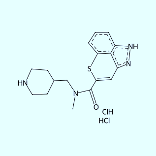 CN(CC1CCNCC1)C(=O)C1=Cc2n[nH]c3cccc(c23)S1.Cl.Cl